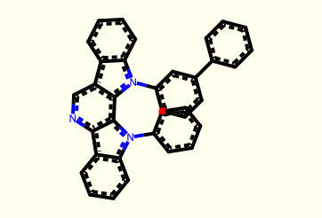 c1ccc(-c2cccc(-n3c4ccccc4c4cnc5c6ccccc6n(-c6ccccc6)c5c43)c2)cc1